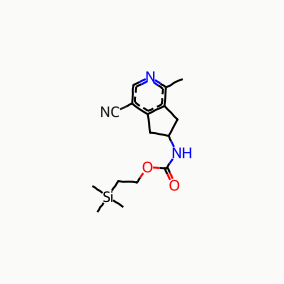 Cc1ncc(C#N)c2c1CC(NC(=O)OCC[Si](C)(C)C)C2